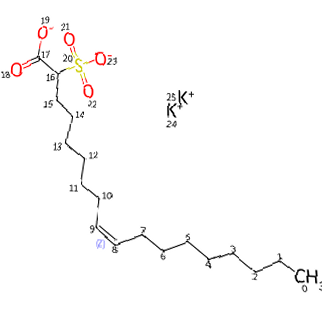 CCCCCCCC/C=C\CCCCCCC(C(=O)[O-])S(=O)(=O)[O-].[K+].[K+]